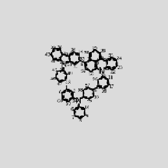 c1ccc(N(c2ccccc2)c2ccc(-c3cccc(N4c5ccccc5-c5cccc6c(-c7ccc8c9ccccc9n(-c9ccccc9)c8c7)ccc4c56)c3)cc2)cc1